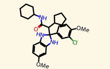 COc1ccc2c(c1)NC(c1ccc(OC)c(Cl)c1)(C(C(=O)NC1CCCCC1)C1CCCC1)N2